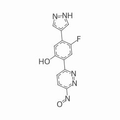 O=Nc1ccc(-c2cc(F)c(-c3cn[nH]c3)cc2O)nn1